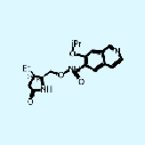 CC[C@@H]1CC(=O)N[C@@H]1CONC(=O)c1cc2ccncc2cc1OC(C)C